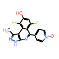 Cc1n[nH]c2nc(-c3cc[n+]([O-])cc3)c3c(F)cc(O)c(F)c3c12